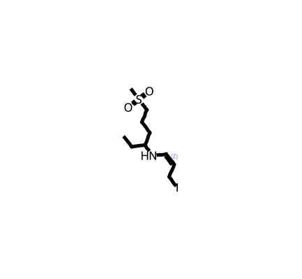 CCC(CCCS(C)(=O)=O)N/C=C\CI